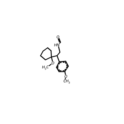 COc1ccc(C(CNC=O)C2(OC)CCCCC2)cc1